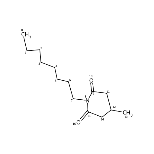 CCCCCCCCN1C(=O)CC(C)CC1=O